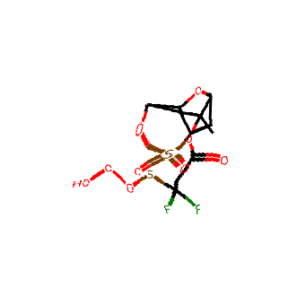 CC1(OC(=O)C(F)(F)SOOO)C2CC3C(O2)C1OS3(=O)=O